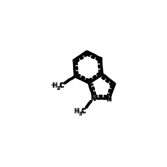 [CH2]c1cccc2cnn(C)c12